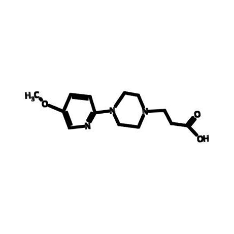 COc1ccc(N2CCN(CCC(=O)O)CC2)nc1